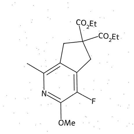 CCOC(=O)C1(C(=O)OCC)Cc2c(C)nc(OC)c(F)c2C1